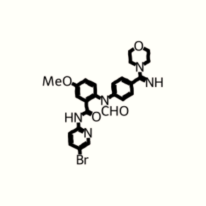 COc1ccc(N(C=O)c2ccc(C(=N)N3CCOCC3)cc2)c(C(=O)Nc2ccc(Br)cn2)c1